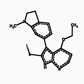 CCOc1ccnc2[nH]c(SI)c(-c3ccc4c(c3)N(C)CC4)c12